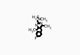 CCc1nc(CN(C)C)nc(C)c1Cc1ccc(F)cc1